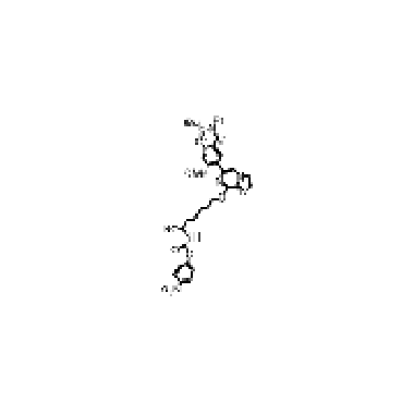 CCN([C@H](C)c1cc(-c2cn3ccnc3c(OCCCCCC(C#N)NC(=O)Oc3ccc([N+](=O)[O-])cc3)n2)c(OC)cn1)[S+]([O-])C(C)(C)C